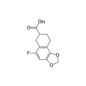 O=C(O)C1CCc2c(c(F)cc3c2OCO3)C1